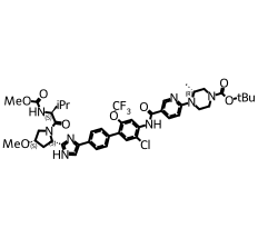 COC(=O)N[C@H](C(=O)N1C[C@@H](OC)C[C@H]1c1nc(-c2ccc(-c3cc(Cl)c(NC(=O)c4ccc(N5CCN(C(=O)OC(C)(C)C)C[C@H]5C)nc4)cc3OC(F)(F)F)cc2)c[nH]1)C(C)C